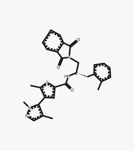 Cc1ccccc1C[C@@H](CN1C(=O)c2ccccc2C1=O)NC(=O)c1cc(-c2c(C)cnn2C)c(C)s1